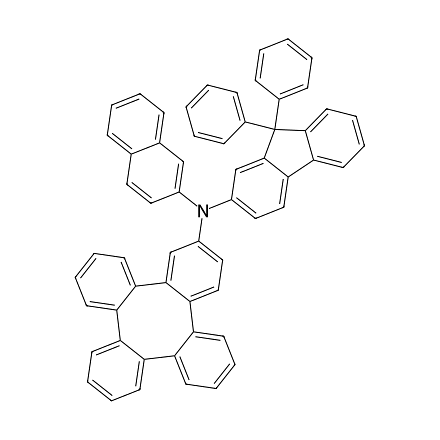 c1ccc(C2(c3ccccc3)c3ccccc3-c3ccc(N(c4ccc5c(c4)-c4ccccc4-c4ccccc4-c4ccccc4-5)c4ccc5ccccc5c4)cc32)cc1